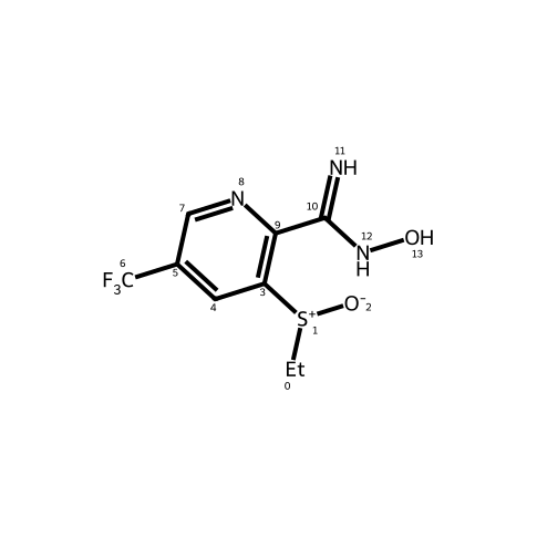 CC[S+]([O-])c1cc(C(F)(F)F)cnc1C(=N)NO